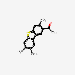 COC(=O)c1cc2c(cc1[N+](=O)[O-])sc1cc([N+](=O)[O-])c(C(=O)O)cc12